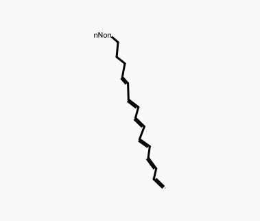 [CH]=CC=CC=CC=CC=CC=CCCCCCCCCCCCC